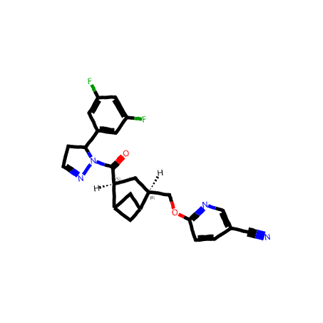 N#Cc1ccc(OC[C@@H]2C[C@H](C(=O)N3N=CCC3c3cc(F)cc(F)c3)C3CC2C3)nc1